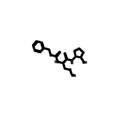 CC(C)(C)OCC(NC(=O)OCc1ccccc1)C(=O)N[C@H]1CCOC1O